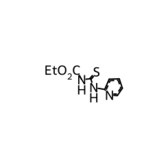 CCOC(=O)NC(=S)Nc1ccccn1